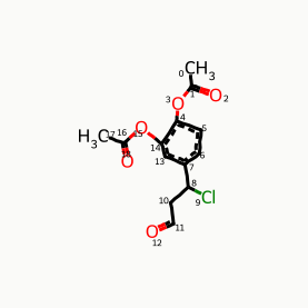 CC(=O)Oc1ccc(C(Cl)CC=O)cc1OC(C)=O